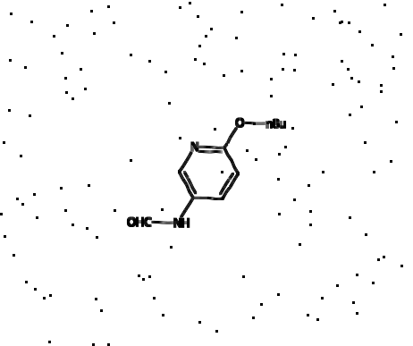 CCCCOc1ccc(NC=O)cn1